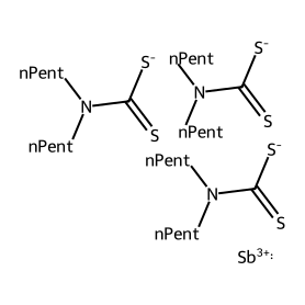 CCCCCN(CCCCC)C(=S)[S-].CCCCCN(CCCCC)C(=S)[S-].CCCCCN(CCCCC)C(=S)[S-].[Sb+3]